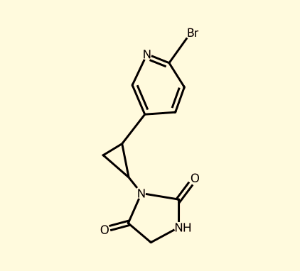 O=C1CNC(=O)N1C1CC1c1ccc(Br)nc1